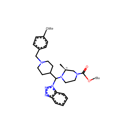 COc1ccc(CN2CCC(C(N3CCN(C(=O)OC(C)(C)C)C[C@@H]3C)n3nnc4ccccc43)CC2)cc1